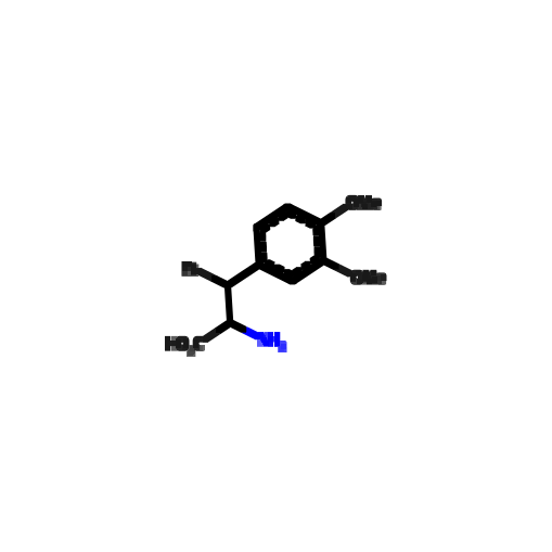 CCC(c1ccc(OC)c(OC)c1)C(N)C(=O)O